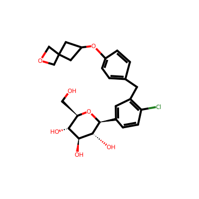 OC[C@H]1O[C@@H](c2ccc(Cl)c(Cc3ccc(OC4CC5(COC5)C4)cc3)c2)[C@H](O)[C@@H](O)[C@@H]1O